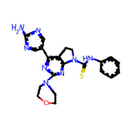 Nc1ncc(-c2nc(N3CCOCC3)nc3c2CCN3C(=S)Nc2ccccc2)cn1